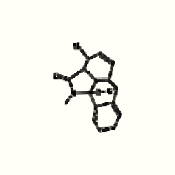 CN1C(=O)C2C3=C(C=CC2Cl)C2CCC31c1ccccc12